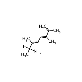 C=C(C)/C(C)=C/C=C(\C)C(C)(N)F